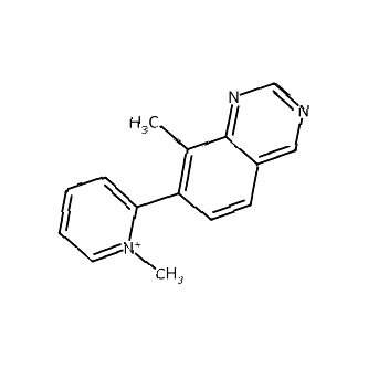 Cc1c(-c2cccc[n+]2C)ccc2cncnc12